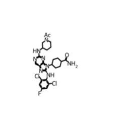 CC(=O)N1CCCC(Nc2ncc3nc(Nc4c(Cl)cc(F)cc4Cl)n(C4CCC(C(N)=O)CC4)c3n2)C1